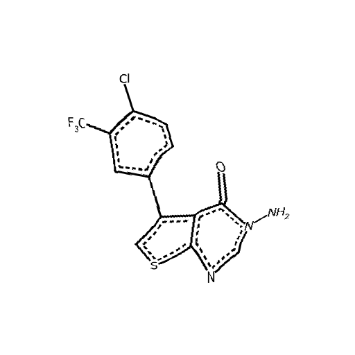 Nn1cnc2scc(-c3ccc(Cl)c(C(F)(F)F)c3)c2c1=O